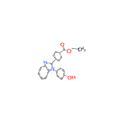 CCOC(=O)c1ccc(-c2nc3ccccc3n2-c2ccc(O)cc2)cc1